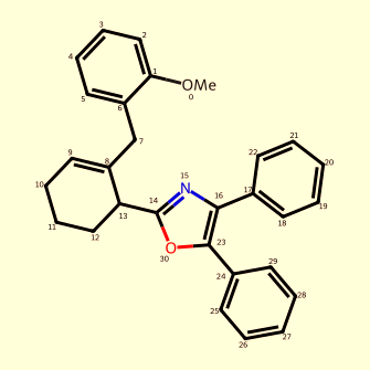 COc1ccccc1CC1=CCCCC1c1nc(-c2ccccc2)c(-c2ccccc2)o1